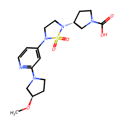 CO[C@@H]1CCN(c2cc(N3CCN([C@@H]4CCN(C(=O)O)C4)S3(=O)=O)ccn2)C1